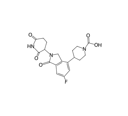 O=C1CCC(N2Cc3c(cc(F)cc3C3CCN(C(=O)O)CC3)C2=O)C(=O)N1